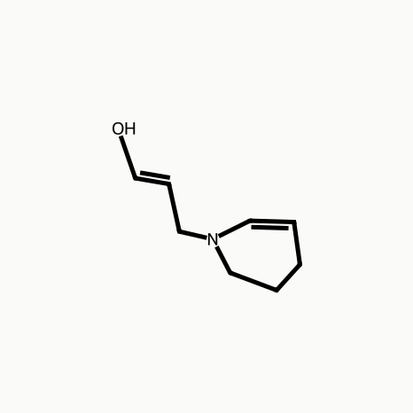 OC=CCN1C=CCCC1